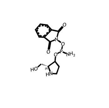 NP(OC1CCN[C@@H]1CO)ON1C(=O)c2ccccc2C1=O